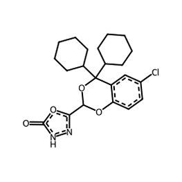 O=c1[nH]nc(C2Oc3ccc(Cl)cc3C(C3CCCCC3)(C3CCCCC3)O2)o1